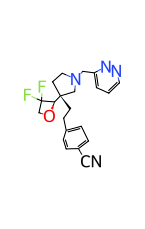 N#Cc1ccc(CC[C@@]2([C@H]3OCC3(F)F)CCN(Cc3cccnn3)C2)cc1